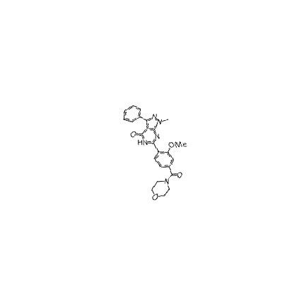 COc1cc(C(=O)N2CCOCC2)ccc1-c1nc2c(c(-c3ccccc3)nn2C)c(=O)[nH]1